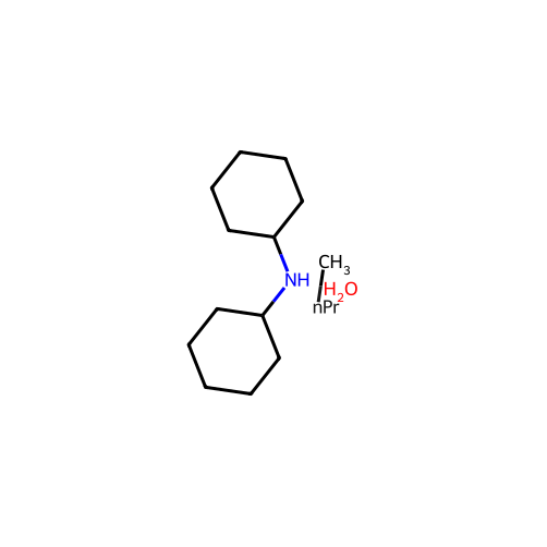 C1CCC(NC2CCCCC2)CC1.CCCC.O